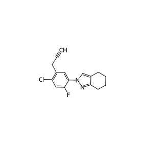 C#CCc1cc(-n2cc3c(n2)CCCC3)c(F)cc1Cl